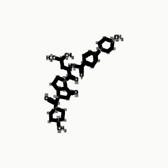 CC(C)CC(NC(=O)c1ccc(N2CCN(C)CC2)cc1)C(=O)N1CCC2C1C(=O)CN2C(=O)N1CCN(C)CC1